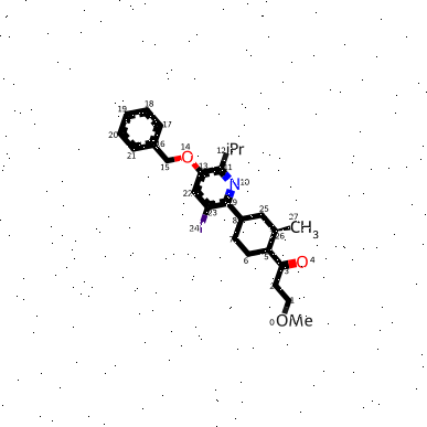 COCCC(=O)C1CCC(c2nc(C(C)C)c(OCc3ccccc3)cc2I)C[C@H]1C